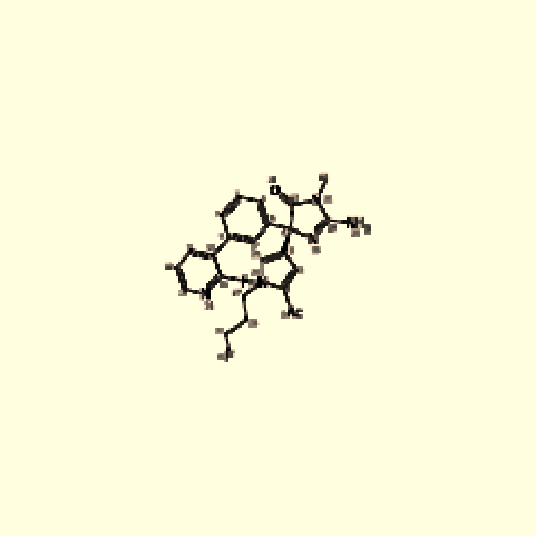 CC(=O)c1cc([C@]2(c3cccc(-c4cccnc4F)c3)N=C(N)N(C)C2=O)cn1CCCF